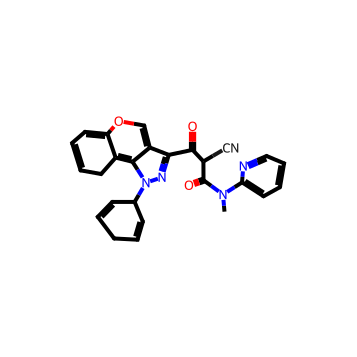 CN(C(=O)C(C#N)C(=O)c1nn(C2C=CCC=C2)c2c1=COC1=CC=CCC=21)c1ccccn1